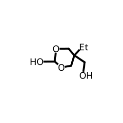 CCC1(CO)COC(O)OC1